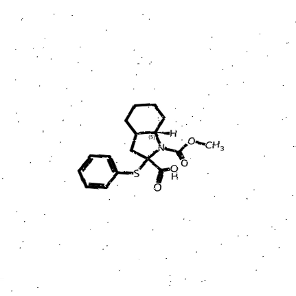 COC(=O)N1[C@H]2CCCCC2CC1(Sc1ccccc1)C(=O)O